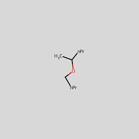 [CH2]CCCOC(C)CCC